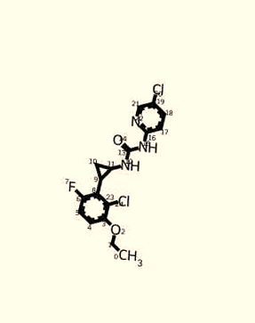 CCOc1ccc(F)c(C2CC2NC(=O)Nc2ccc(Cl)cn2)c1Cl